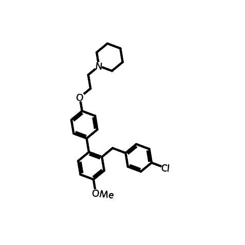 COc1ccc(-c2ccc(OCCN3CCCCC3)cc2)c(Cc2ccc(Cl)cc2)c1